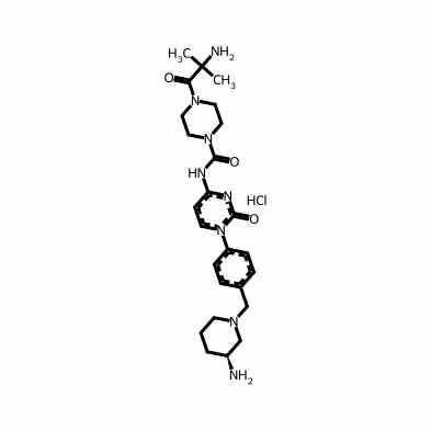 CC(C)(N)C(=O)N1CCN(C(=O)Nc2ccn(-c3ccc(CN4CCC[C@H](N)C4)cc3)c(=O)n2)CC1.Cl